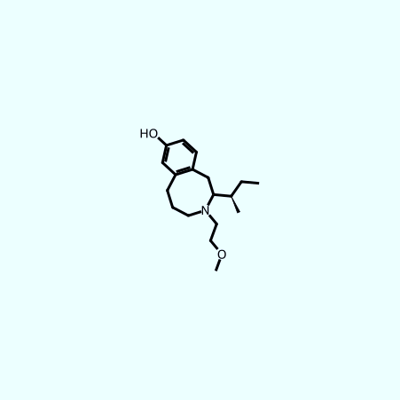 CC[C@@H](C)C1Cc2ccc(O)cc2CCCN1CCOC